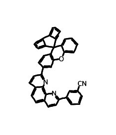 N#Cc1cccc(-c2ccc3ccc4ccc(-c5ccc6c(c5)Oc5ccccc5C65c6ccccc6-c6ccccc65)nc4c3n2)c1